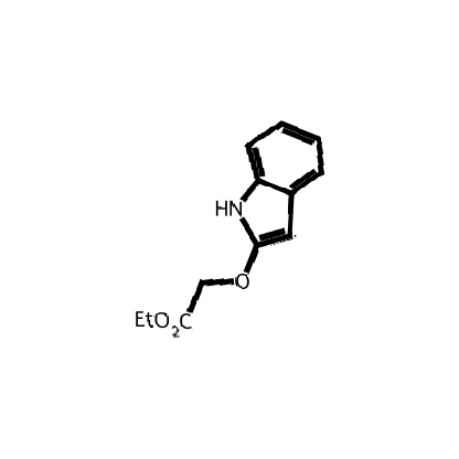 CCOC(=O)COc1[c]c2ccccc2[nH]1